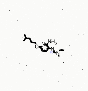 CCN(C)/C=N/c1ccc(OCCCC(C)C)nc1N